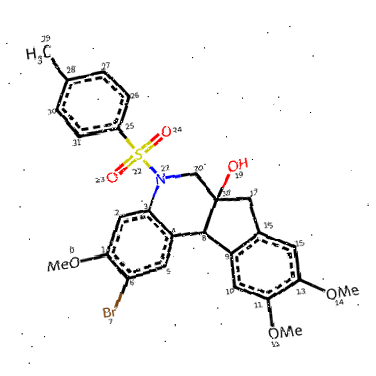 COc1cc2c(cc1Br)C1c3cc(OC)c(OC)cc3CC1(O)CN2S(=O)(=O)c1ccc(C)cc1